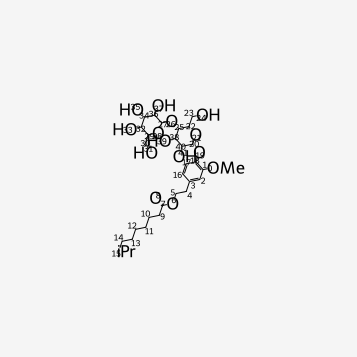 COc1cc(CCOC(=O)CCCCCCC(C)C)ccc1OC1OC(CO)C(OC2OC(CO)C(O)C(O)C2O)C(O)C1O